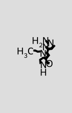 CCCCn1c(-c2ccnc(N)n2)cc2c1CCNC2=O